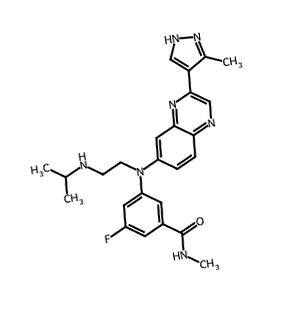 CNC(=O)c1cc(F)cc(N(CCNC(C)C)c2ccc3ncc(-c4c[nH]nc4C)nc3c2)c1